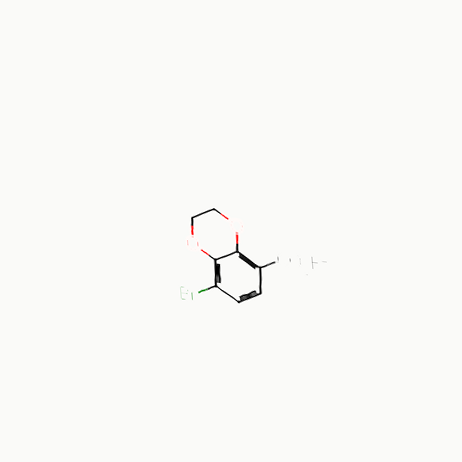 CCOC(=O)c1ccc(Br)c2c1OCCO2